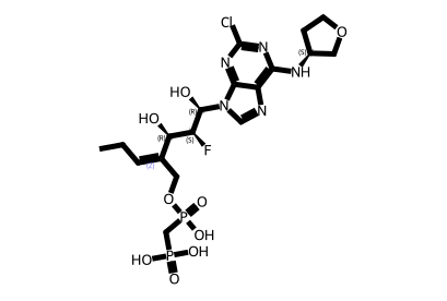 CC/C=C(/COP(=O)(O)CP(=O)(O)O)[C@@H](O)[C@H](F)[C@@H](O)n1cnc2c(N[C@H]3CCOC3)nc(Cl)nc21